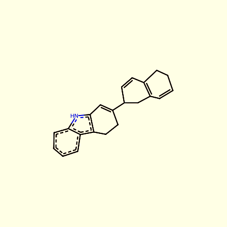 C1=CC2=C(C=CC(C3=Cc4[nH]c5ccccc5c4CC3)C2)CC1